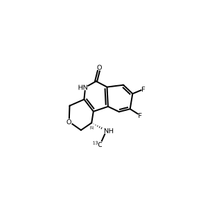 [13CH3]N[C@@H]1COCc2[nH]c(=O)c3cc(F)c(F)cc3c21